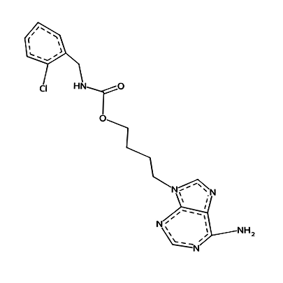 Nc1ncnc2c1ncn2CCCCOC(=O)NCc1ccccc1Cl